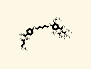 CCCC(=O)NC(=N)c1ccc(OCCCCCOc2ccc(C(=O)N(C(C)C)C(C)C)cc2OC)cc1